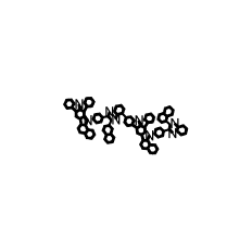 c1ccc2cc(-c3nc4c(-c5ccc6c7cc8c9ccc%10ccccc%10c9n(-c9ccc(-c%10nc%11ccccc%11nc%10-c%10cccc%11ccccc%10%11)cc9)c8c8c9ccccc9n(c6c5)c78)cccc4nc3-c3ccc(-n4c5c6ccccc6ccc5c5cc6c7ccccc7n7c8ccccc8c(c54)c67)cc3)ccc2c1